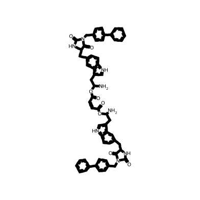 NC(Cc1c[nH]c2ccc(CC3NC(=O)N(Cc4ccc(-c5ccccc5)cc4)C3=O)cc12)OC(=O)/C=C\C(=O)OC(N)Cc1c[nH]c2ccc(CC3NC(=O)N(Cc4ccc(-c5ccccc5)cc4)C3=O)cc12